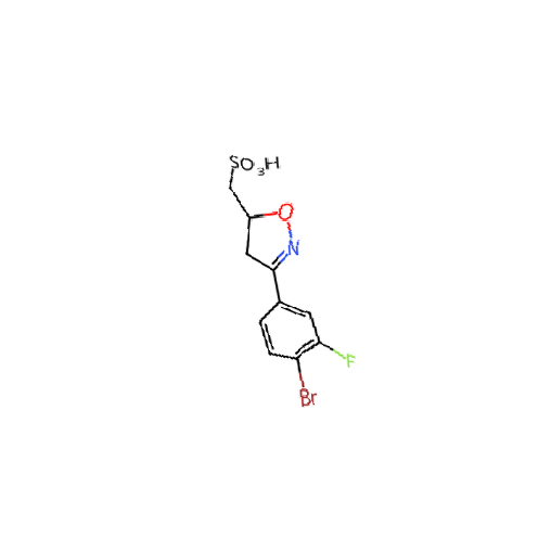 O=S(=O)(O)CC1CC(c2ccc(Br)c(F)c2)=NO1